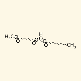 CCCCCCCCCCCC(=O)OCC(O)COC(=O)CCCCCCCC(=O)OCC